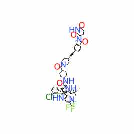 CC(C)(C)C[C@@H]1N[C@@H](C(=O)NC2CCC(C(=O)N3CCC(C#Cc4ccc5c(c4)CN(C4CCC(=O)NC4=O)C5=O)CC3)CC2)[C@H](c2cccc(Cl)c2F)[C@]12CNc1cc(C(F)(F)F)ncc12